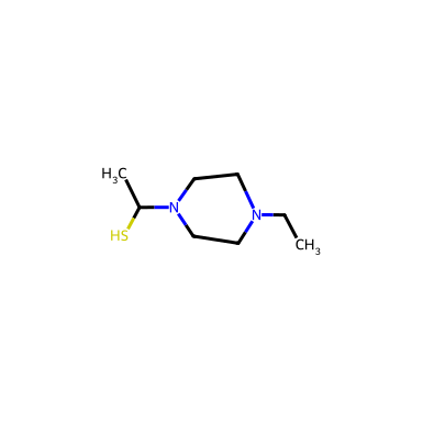 CCN1CCN(C(C)S)CC1